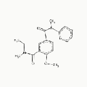 CCN(C)C(=O)c1cc(C(=O)N(C)c2cccnc2)ccc1OC